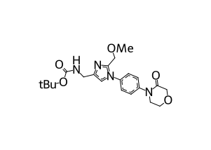 COCc1nc(CNC(=O)OC(C)(C)C)cn1-c1ccc(N2CCOCC2=O)cc1